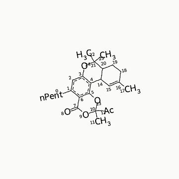 CCCCCc1cc2c(c3c1C(=O)OC(C)(C(C)=O)O3)C1C=C(C)CCC1C(C)(C)O2